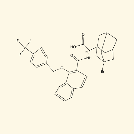 O=C(N[C@H](C(=O)O)C12CC3CC(CC(Br)(C3)C1)C2)c1ccc2ccccc2c1OCc1ccc(C(F)(F)F)cc1